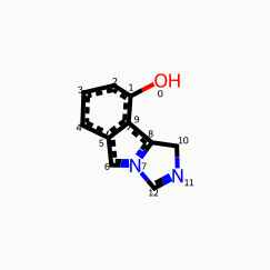 Oc1cccc2cn3c(c12)CN=C3